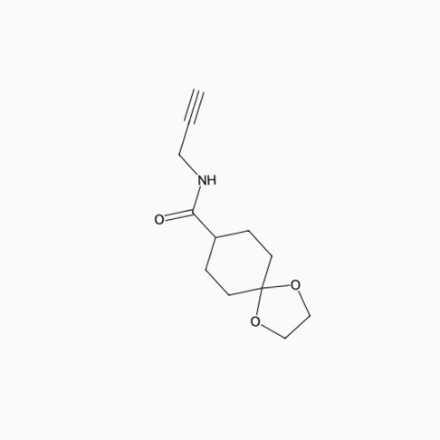 C#CCNC(=O)C1CCC2(CC1)OCCO2